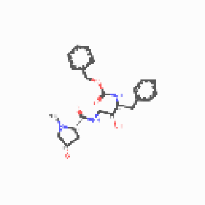 CC(C)(C)N1C[C@@H](O)C[C@H]1C(=O)NC[C@@H](O)[C@H](Cc1ccccc1)NC(=O)OCc1ccccc1